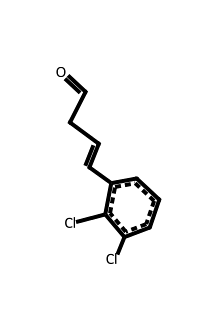 O=CCC=Cc1cccc(Cl)c1Cl